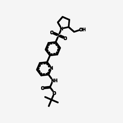 CC(C)(C)OC(=O)Nc1cccc(-c2ccc(S(=O)(=O)N3CCCC3CO)cc2)n1